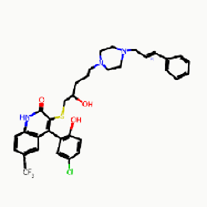 O=c1[nH]c2ccc(C(F)(F)F)cc2c(-c2cc(Cl)ccc2O)c1SCC(O)CCCN1CCN(C/C=C/c2ccccc2)CC1